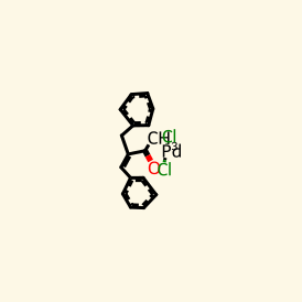 CC(=O)C(=Cc1ccccc1)Cc1ccccc1.[Cl][Pd][Cl]